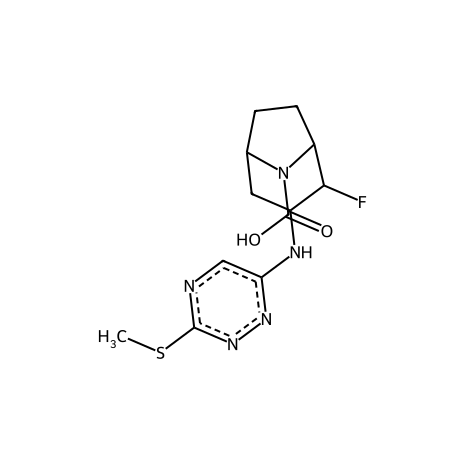 CSc1ncc(NC2CC3CCC(C2F)N3C(=O)O)nn1